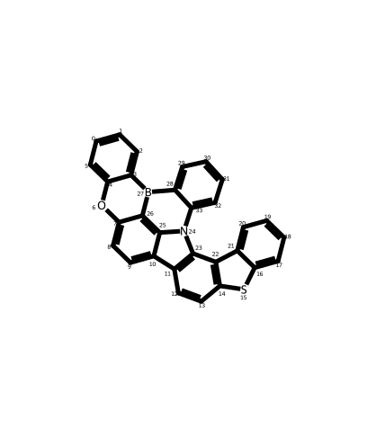 c1ccc2c(c1)Oc1ccc3c4ccc5sc6ccccc6c5c4n4c3c1B2c1ccccc1-4